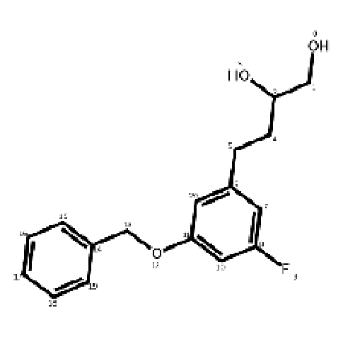 OCC(O)CCc1cc(F)cc(OCc2ccccc2)c1